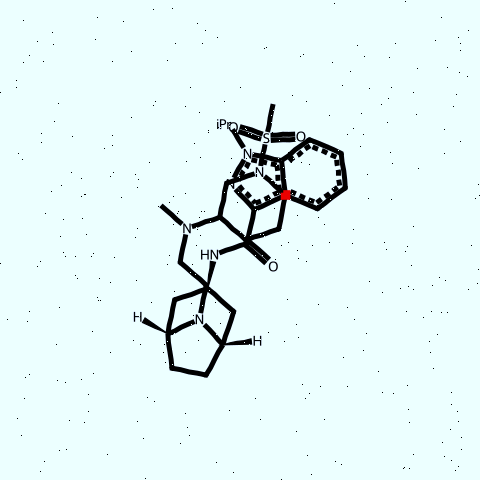 CC(C)n1nc(C(=O)N[C@@H]2C[C@H]3CC[C@@H](C2)N3CCN(C)C2CCCN(S(C)(=O)=O)C2)c2ccccc21